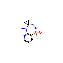 CN1c2ncccc2S(=O)(=O)N=CC12CC2